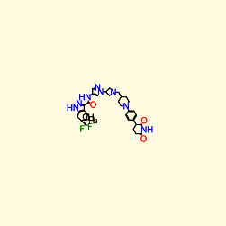 C[C@@]12Cc3[nH]nc(C(=O)Nc4cnn(C5CN(CC6CCN(c7ccc(C8CCC(=O)NC8=O)cc7)CC6)C5)c4)c3C[C@@H]1C2(F)F